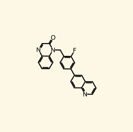 O=c1cnc2ccccc2n1Cc1ccc(-c2ccc3ncccc3c2)cc1F